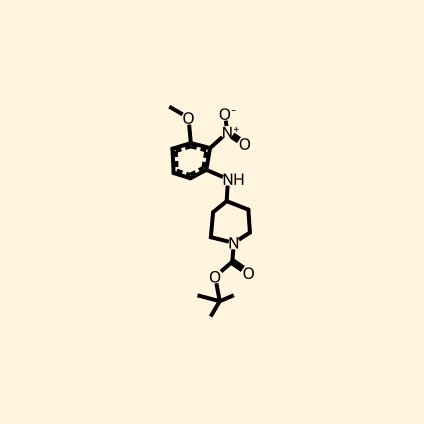 COc1cccc(NC2CCN(C(=O)OC(C)(C)C)CC2)c1[N+](=O)[O-]